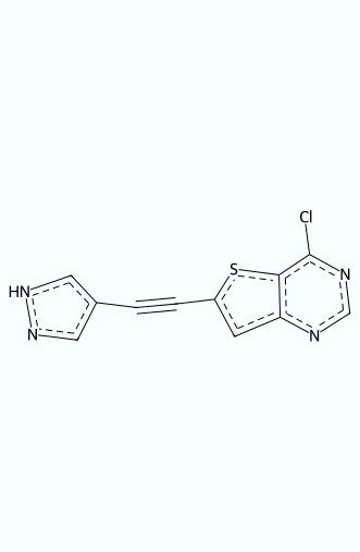 Clc1ncnc2cc(C#Cc3cn[nH]c3)sc12